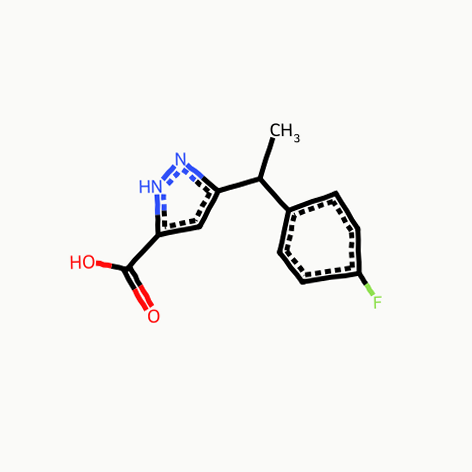 CC(c1ccc(F)cc1)c1cc(C(=O)O)[nH]n1